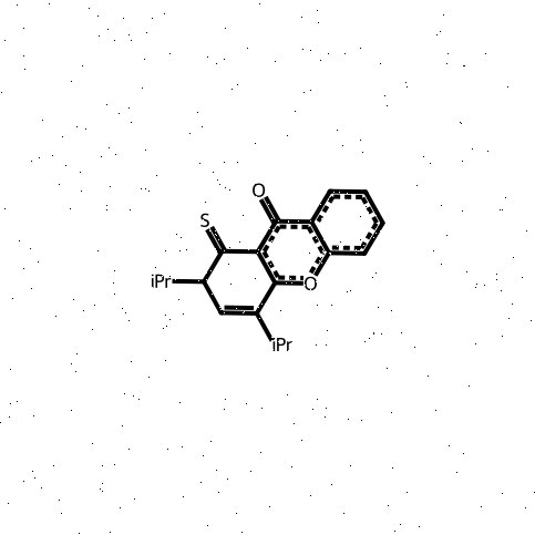 CC(C)C1=CC(C(C)C)C(=S)c2c1oc1ccccc1c2=O